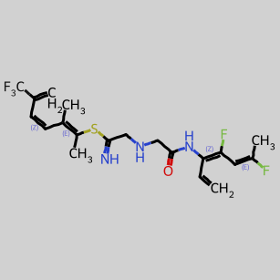 C=C/C(NC(=O)CNCC(=N)S/C(C)=C(C)/C=C\C(=C)C(F)(F)F)=C(F)\C=C(/C)F